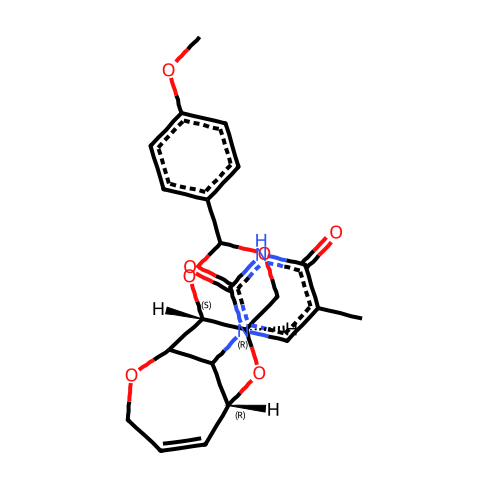 COc1ccc(C2OC[C@H]3O[C@@H]4C=CCOC(C4n4cc(C)c(=O)[nH]c4=O)[C@@H]3O2)cc1